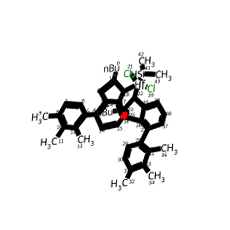 CCCCC1=Cc2c(-c3ccc(C)c(C)c3C)cccc2[CH]1[Hf]([Cl])([Cl])([CH]1C(CCCC)=Cc2c(-c3ccc(C)c(C)c3C)cccc21)[SiH](C)C